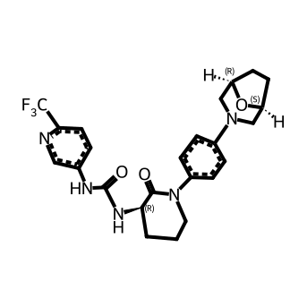 O=C(Nc1ccc(C(F)(F)F)nc1)N[C@@H]1CCCN(c2ccc(N3C[C@H]4CC[C@@H](C3)O4)cc2)C1=O